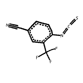 N#Cc1ccc(N=C=S)c(C(F)(F)F)c1